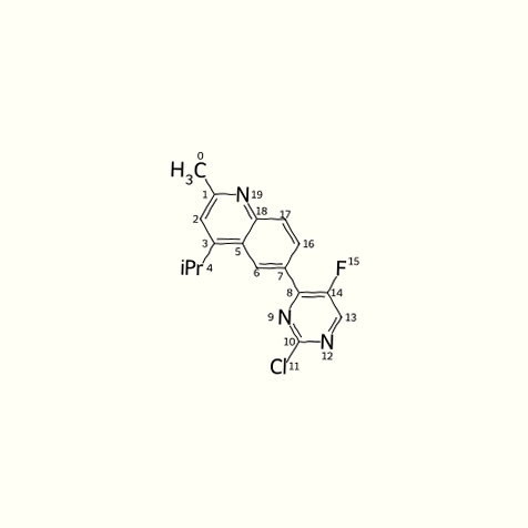 Cc1cc(C(C)C)c2cc(-c3nc(Cl)ncc3F)ccc2n1